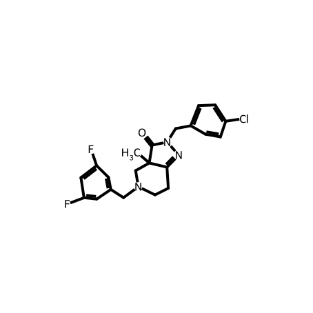 CC12CN(Cc3cc(F)cc(F)c3)CCC1=NN(Cc1ccc(Cl)cc1)C2=O